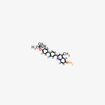 Cc1cc(-c2ccc(-c3ccc(OC(C)(C)C)cc3)c(F)c2)nc2ccc(P)cc12